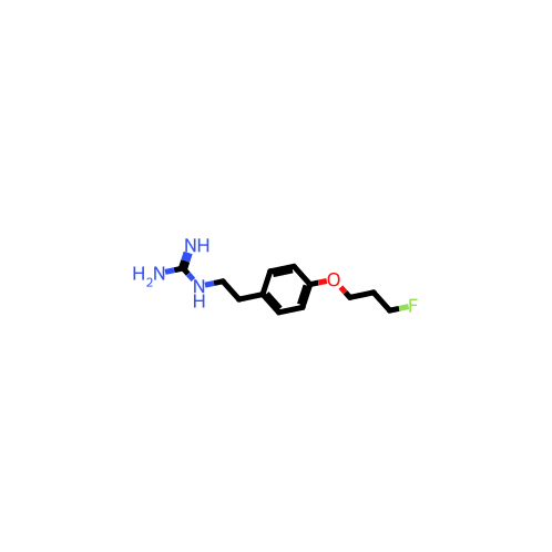 N=C(N)NCCc1ccc(OCCCF)cc1